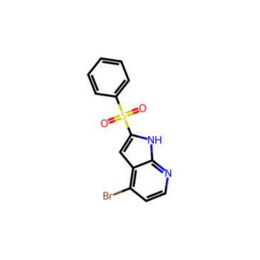 O=S(=O)(c1ccccc1)c1cc2c(Br)ccnc2[nH]1